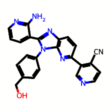 N#Cc1ccncc1-c1ccc2nc(-c3cccnc3N)n(-c3ccc(CO)cc3)c2n1